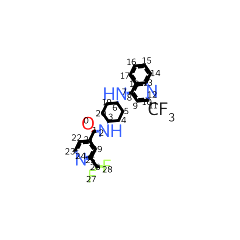 O=C(N[C@H]1CC[C@@H](Nc2cc(C(F)(F)F)nc3ccccc23)CC1)c1ccnc(C(F)F)c1